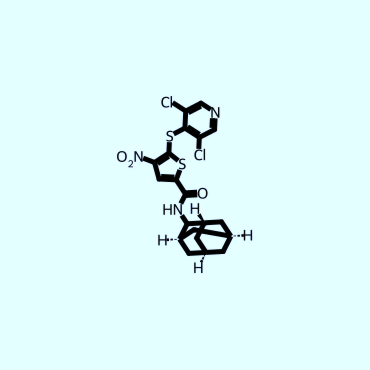 O=C(NC1[C@H]2C[C@H]3C[C@H](C2)C[C@H]1C3)c1cc([N+](=O)[O-])c(Sc2c(Cl)cncc2Cl)s1